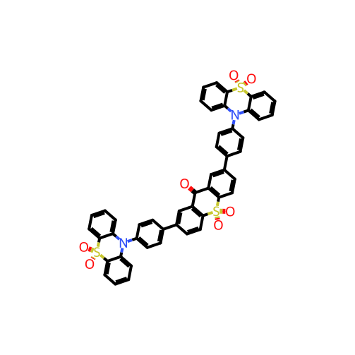 O=C1c2cc(-c3ccc(N4c5ccccc5S(=O)(=O)c5ccccc54)cc3)ccc2S(=O)(=O)c2ccc(-c3ccc(N4c5ccccc5S(=O)(=O)c5ccccc54)cc3)cc21